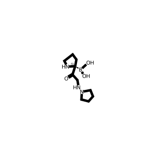 O=C(CNN1CCCC1)[C@]1(B(O)O)CCCN1